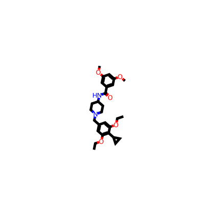 CCOc1cc(CN2CCC(NC(=O)c3cc(OC)cc(OC)c3)CC2)cc(OCC)c1C1CC1